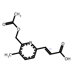 CC(=O)OCc1nc(/C=C/C(=O)O)ccc1C